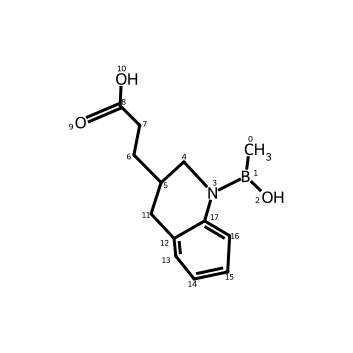 CB(O)N1CC(CCC(=O)O)Cc2ccccc21